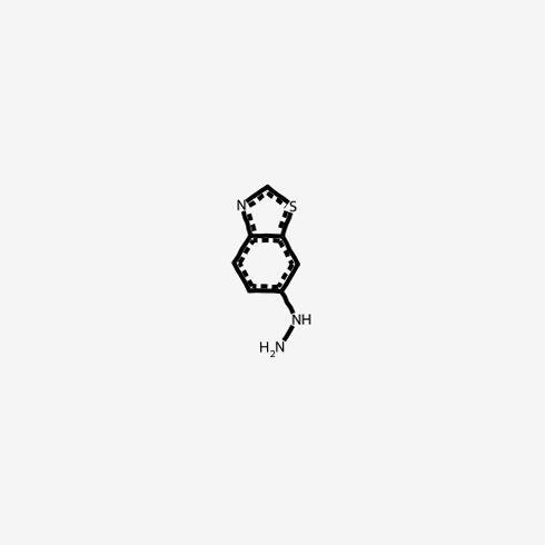 NNc1ccc2ncsc2c1